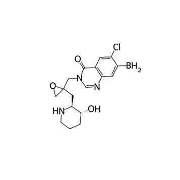 Bc1cc2ncn(CC3(C[C@@H]4NCCC[C@H]4O)CO3)c(=O)c2cc1Cl